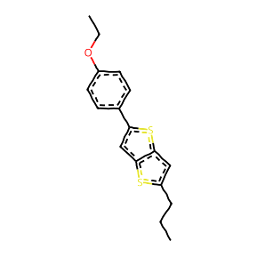 CCCc1cc2sc(-c3ccc(OCC)cc3)cc2s1